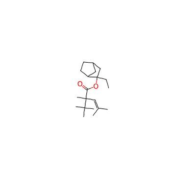 CCC1(OC(=O)C(C)(C=C(C)C)C(C)(C)C)CC2CCC1C2